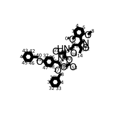 COc1cccc(OC)c1-c1noc(C)c1CC(=O)N[C@@H]1C(=O)N(C(C(=O)OCc2ccccc2)c2ccc(OCc3ccccc3)cc2)[C@H]1OC(C)=O